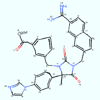 COC(=O)c1cccc(CN2C(=O)N(Cc3ccc4ccc(C(=N)N)cc4c3)C(=O)C2(C)c2ccc(-n3ccnc3)cc2)c1